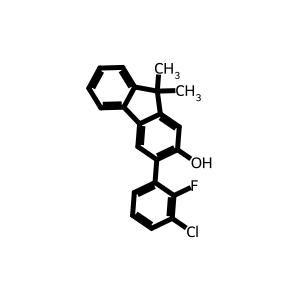 CC1(C)c2ccccc2-c2cc(-c3cccc(Cl)c3F)c(O)cc21